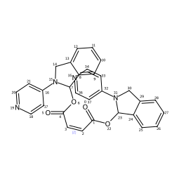 O=C(/C=C\C(=O)OC1c2ccccc2CN1c1ccncc1)OC1c2ccccc2CN1c1ccncc1